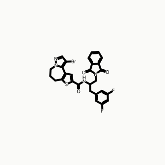 O=C(NC(Cc1cc(F)cc(F)c1)CN1C(=O)c2ccccc2C1=O)c1cc2c(s1)CCCn1ncc(Br)c1-2